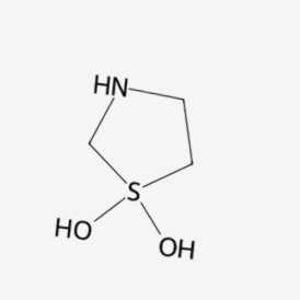 OS1(O)CCNC1